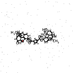 CN1CC[C@]23C4=C5O[C@H]2[C@@H](O)C=C[C@H]3[C@H]1CC4=CCC5(O)OC(=O)c1ccc(C(=O)OC2(O)CC=C3C[C@@H]4[C@@H]5C=C[C@H](O)[C@@H]6OC2=C3[C@]56CCN4C)s1